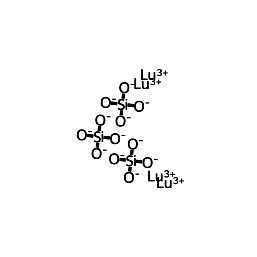 [Lu+3].[Lu+3].[Lu+3].[Lu+3].[O-][Si]([O-])([O-])[O-].[O-][Si]([O-])([O-])[O-].[O-][Si]([O-])([O-])[O-]